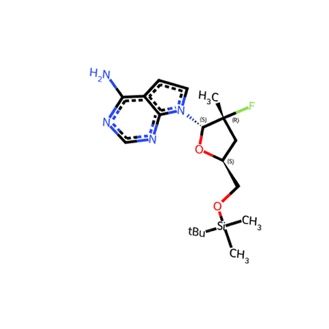 CC(C)(C)[Si](C)(C)OC[C@@H]1C[C@@](C)(F)[C@@H](n2ccc3c(N)ncnc32)O1